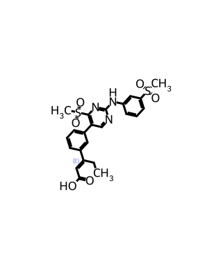 CC/C(=C\C(=O)O)c1cccc(-c2cnc(Nc3cccc(S(C)(=O)=O)c3)nc2S(C)(=O)=O)c1